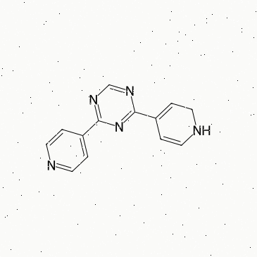 C1=CC(c2ncnc(-c3ccncc3)n2)=CCN1